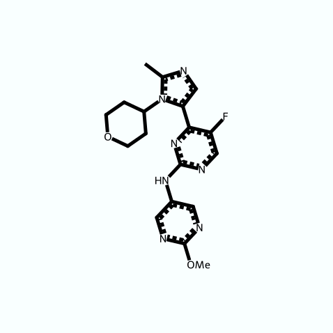 COc1ncc(Nc2ncc(F)c(-c3cnc(C)n3C3CCOCC3)n2)cn1